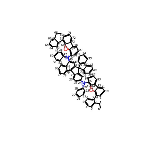 CCc1ccccc1-c1cccc2c1oc1c(N(c3ccccc3)c3ccc4c(c3)C(c3ccccc3)(c3ccccc3)c3cc(N(c5ccccc5)c5cccc6c5oc5c(-c7ccccc7CC)cccc56)c5ccccc5c3-4)cccc12